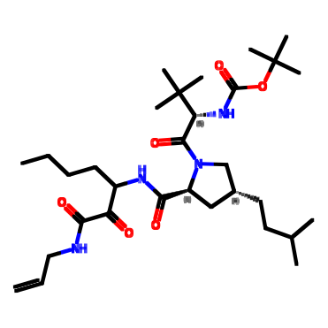 C=CCNC(=O)C(=O)C(CCCC)NC(=O)[C@@H]1C[C@@H](CCC(C)C)CN1C(=O)[C@@H](NC(=O)OC(C)(C)C)C(C)(C)C